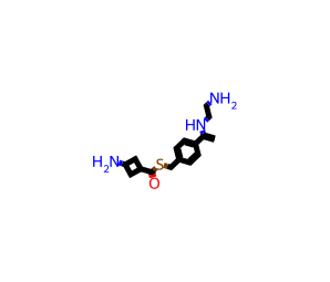 C=C(NCCN)c1ccc(CSC(=O)C2CC(N)C2)cc1